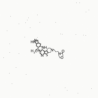 COc1cc2[nH]ncc2cc1Nc1ncnc2sc3c(c12)CCN(CCCN1CCOCC1=O)C3